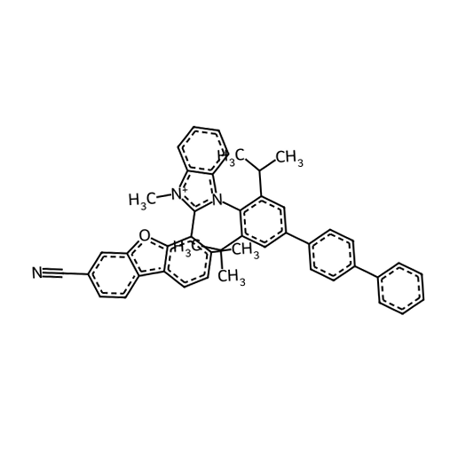 Cc1ccc2c(oc3cc(C#N)ccc32)c1-c1n(-c2c(C(C)C)cc(-c3ccc(-c4ccccc4)cc3)cc2C(C)C)c2ccccc2[n+]1C